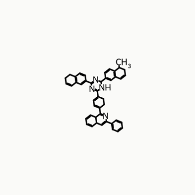 CC1CC=Cc2cc(C3N=C(c4ccc5c(c4)C=CCC5)N=C(C4=CC=C(C5=NC(c6ccccc6)=CC6C=CC=CC56)CC4)N3)ccc21